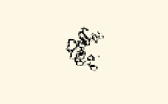 O=[Si]([O-])[O-].O=[Si]([O-])[O-].[Co+2].[Li+].[Li+]